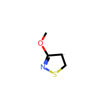 COC1=NSC[CH]1